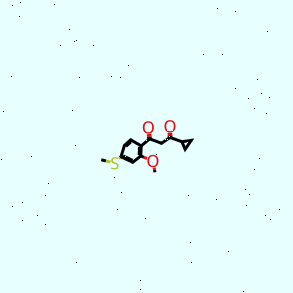 COc1cc(SC)ccc1C(=O)CC(=O)C1CC1